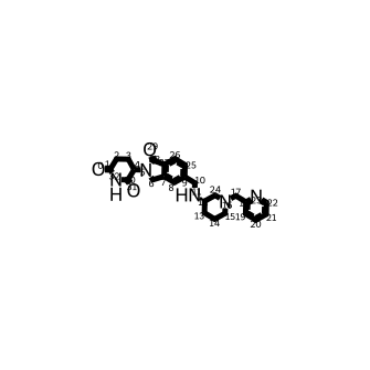 O=C1CCC(N2Cc3cc(CN[C@@H]4CCCN(Cc5ccccn5)C4)ccc3C2=O)C(=O)N1